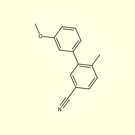 COc1cccc(-c2cc(C#N)ccc2C)c1